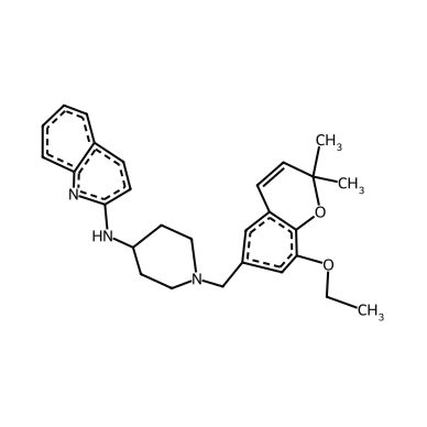 CCOc1cc(CN2CCC(Nc3ccc4ccccc4n3)CC2)cc2c1OC(C)(C)C=C2